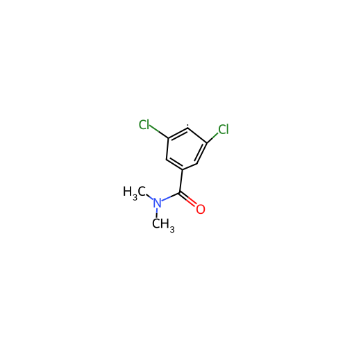 CN(C)C(=O)c1cc(Cl)[c]c(Cl)c1